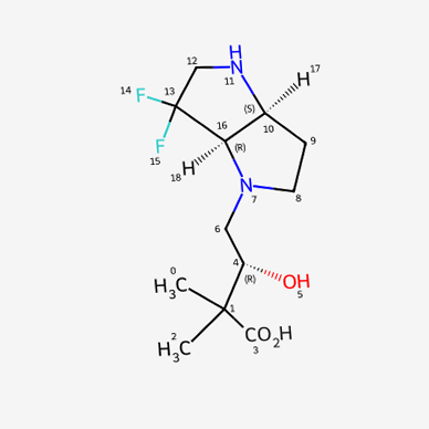 CC(C)(C(=O)O)[C@@H](O)CN1CC[C@@H]2NCC(F)(F)[C@@H]21